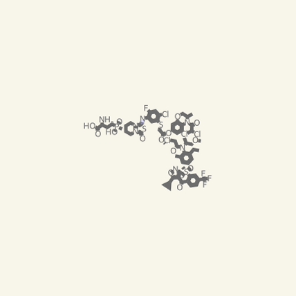 CC1COc2ccccc2N1C(=O)C(Cl)Cl.CCc1cccc(C)c1N(C(=O)CCl)C(C)COC.COC(=O)CSc1cc(/N=c2\sc(=O)n3n2CCCC3)c(F)cc1Cl.CP(=O)(O)CCC(N)C(=O)O.CS(=O)(=O)c1cc(C(F)(F)F)ccc1C(=O)c1cnoc1C1CC1